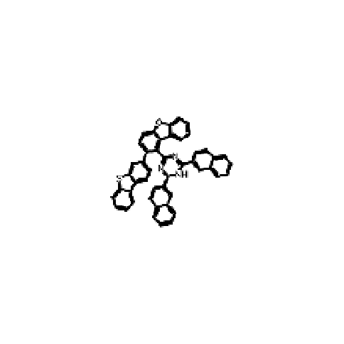 c1ccc2cc(C3=NC(c4c(-c5ccc6c(c5)sc5ccccc56)ccc5oc6ccccc6c45)=NC(c4ccc5ccccc5c4)N3)ccc2c1